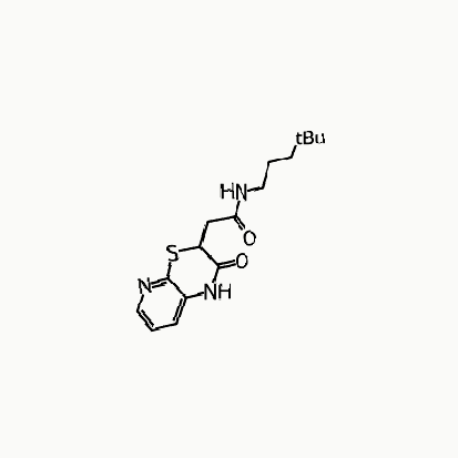 CC(C)(C)CCCNC(=O)CC1Sc2ncccc2NC1=O